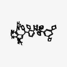 CC(C)n1cc(C(=O)c2cccc(NS(=O)(=O)c3cc(Cl)cc(Cl)c3)c2Cl)c2c(N)ncnc21